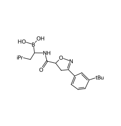 CC(C)CC(NC(=O)C1CC(c2cccc(C(C)(C)C)c2)=NO1)B(O)O